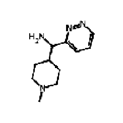 CN1CCC(C(N)c2cccnn2)CC1